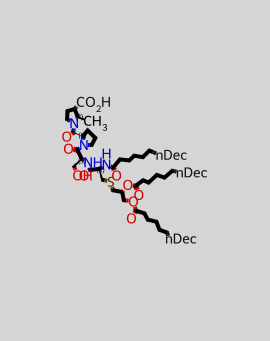 CCCCCCCCCCCCCCCC(=O)N[C@@H](CSCC(COC(=O)CCCCCCCCCCCCCCC)OC(=O)CCCCCCCCCCCCCCC)C(=O)N[C@@H](CO)C(=O)N1CCC[C@H]1C(=O)N1CCC(C(=O)O)[C@H]1C